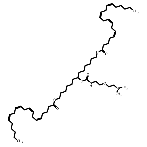 CCCCC/C=C\C/C=C\C/C=C\C/C=C\CCCC(=O)OCCCCCCC(CCCCCCOC(=O)CCC/C=C\C/C=C\C/C=C\C/C=C\CCCCC)OC(=O)NCCOCCN(C)C